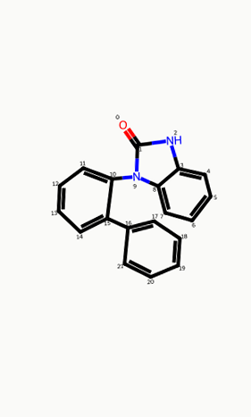 O=c1[nH]c2ccccc2n1-c1ccccc1-c1ccccc1